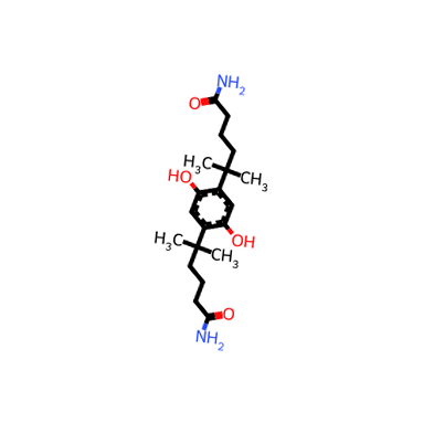 CC(C)(CCCC(N)=O)c1cc(O)c(C(C)(C)CCCC(N)=O)cc1O